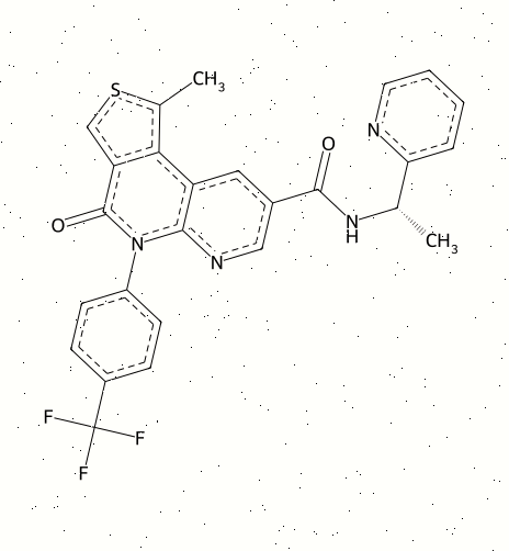 Cc1scc2c(=O)n(-c3ccc(C(F)(F)F)cc3)c3ncc(C(=O)N[C@@H](C)c4ccccn4)cc3c12